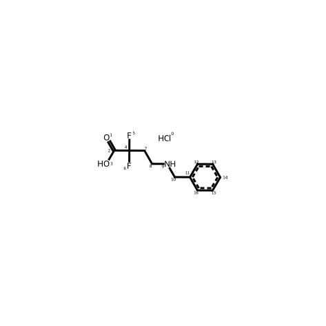 Cl.O=C(O)C(F)(F)CCNCc1ccccc1